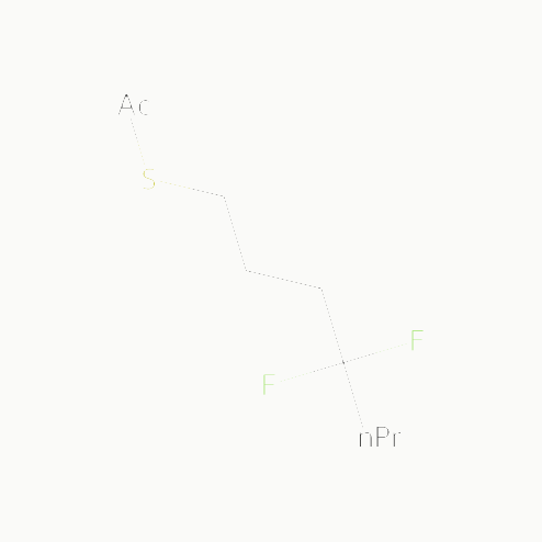 CCCC(F)(F)CCCSC(C)=O